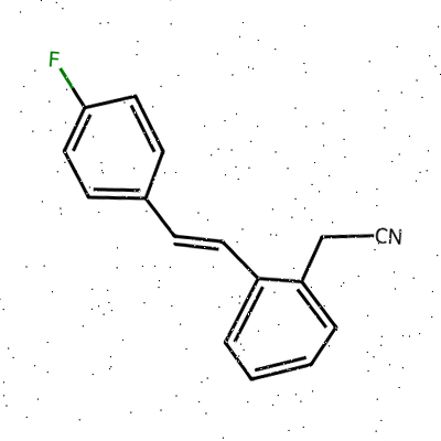 N#CCc1ccccc1/C=C/c1ccc(F)cc1